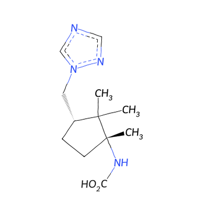 CC1(C)[C@@H](Cn2cncn2)CC[C@@]1(C)NC(=O)O